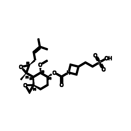 CO[C@@H]1[C@H](OC(=O)N2CC(CCS(=O)(=O)O)C2)CC[C@]2(CO2)[C@H]1[C@@]1(C)O[C@@H]1CC=C(C)C